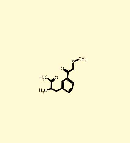 CSCC(=O)c1cccc(CC(C)C(C)=O)c1